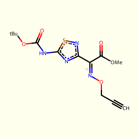 C#CCO/N=C(\C(=O)OC)c1nsc(NC(=O)OC(C)(C)C)n1